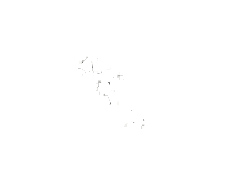 COC(=O)CCC/C=C\C[C@@H]1[C@H](F)CC(c2ccccc2)[C@H]1C=O